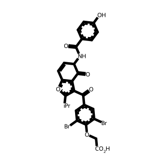 CC(C)c1oc2c(c1C(=O)c1cc(Br)c(OCC(=O)O)c(Br)c1)C(=O)C(NC(=O)c1ccc(O)cc1)C=C2